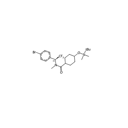 CN(C(=O)C1CCC(O[Si](C)(C)C(C)(C)C)CC1)[C@@H](c1ccc(Br)cc1)C(F)(F)F